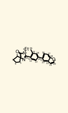 CCN1C(=O)C2(CCCC2)N=C1c1ccc(-c2ccc3occc3c2)cc1C